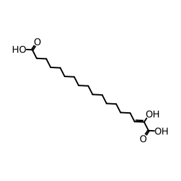 O=C(O)CCCCCCCCCCCCCCC=C(O)C(=O)O